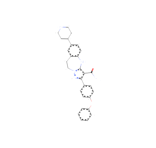 NC(=O)c1c(-c2ccc(Oc3ccccc3)cc2)nn2c1Nc1ccc(C3CCNCC3)cc1CC2